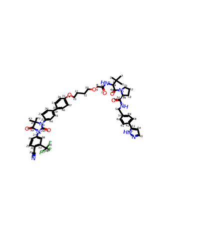 CC(C)(C)C(NC(=O)COCCCCOc1ccc(-c2ccc(N3C(=O)N(c4ccc(C#N)c(C(F)(F)F)c4)C(=O)C3(C)C)cc2)cc1)C(=O)N1CCC[C@H]1C(=O)NCc1ccc(-c2ccn[nH]2)cc1